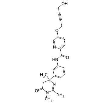 CN1C(=O)CC(C)(c2cccc(NC(=O)c3cnc(OCC#CCO)cn3)c2)N=C1N